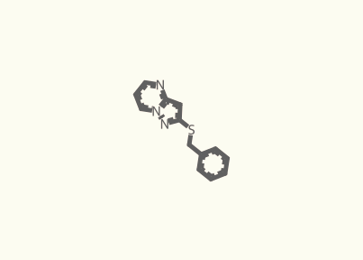 c1ccc(CSc2cc3ncccn3n2)cc1